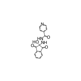 O=C(NNC1(O)C(=O)c2ccccc2C1=O)c1ccncc1